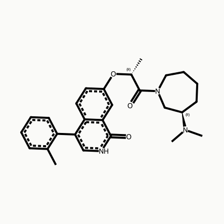 Cc1ccccc1-c1c[nH]c(=O)c2cc(O[C@H](C)C(=O)N3CCCC[C@@H](N(C)C)C3)ccc12